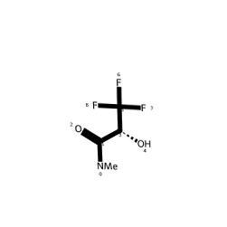 CNC(=O)[C@@H](O)C(F)(F)F